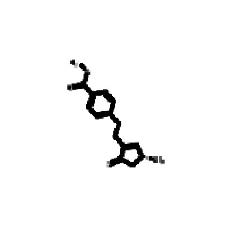 COC(=O)c1ccc(CCC2=C[C@H](C)CC2=O)cc1